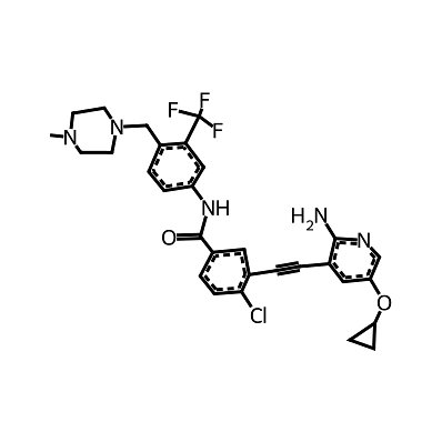 CN1CCN(Cc2ccc(NC(=O)c3ccc(Cl)c(C#Cc4cc(OC5CC5)cnc4N)c3)cc2C(F)(F)F)CC1